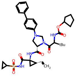 C=C[C@@H]1C[C@]1(NC(=O)[C@@H]1CN(c2ccc(-c3ccccc3)cc2)CN1C(=O)C(NC(=O)OC1CCCC1)C(C)(C)C)C(=O)NS(=O)(=O)C1CC1